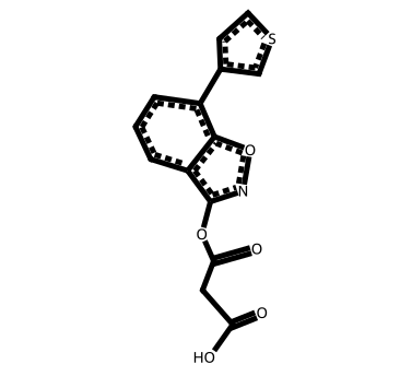 O=C(O)CC(=O)Oc1noc2c(-c3ccsc3)cccc12